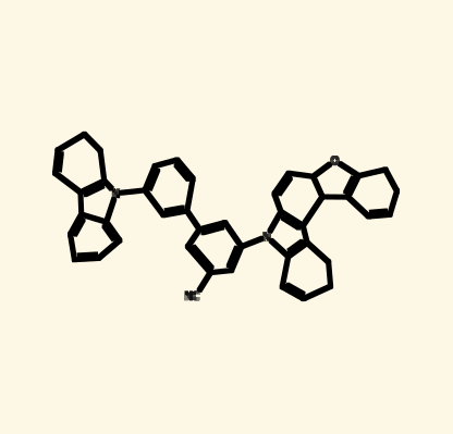 N#Cc1cc(-c2cccc(-n3c4c(c5ccccc53)C=CCC4)c2)cc(-n2c3c(c4c2C=CC2OC5=C(C=CCC5)C42)CCC=C3)c1